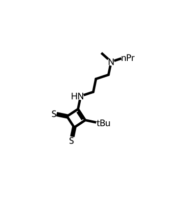 CCCN(C)CCCNc1c(C(C)(C)C)c(=S)c1=S